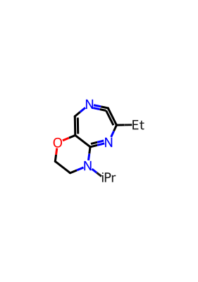 CCC1=C=NC=C2OCCN(C(C)C)C2=N1